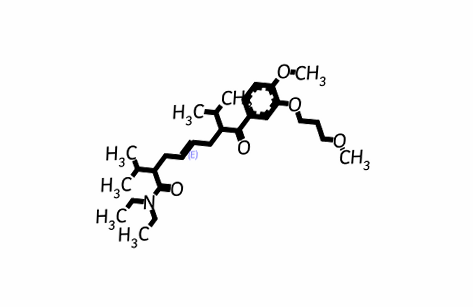 CCN(CC)C(=O)C(C/C=C/CC(C(=O)c1ccc(OC)c(OCCCOC)c1)C(C)C)C(C)C